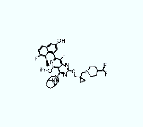 C#Cc1c(F)ccc2cc(O)cc(-c3nc(OC(C)C)c4c(N5CC6CCC(C5)N6)nc(OCC5(CN6CCC(=C(F)F)CC6)CC5)nc4c3F)c12